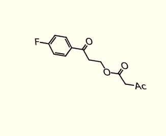 CC(=O)CC(=O)OCCC(=O)c1ccc(F)cc1